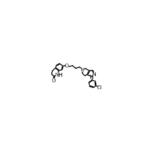 O=C1CCc2ccc(OCCCCN3CCc4c(cnn4-c4cccc(Cl)c4)C3)cc2N1